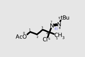 CC(=O)OCCCC(C)(Cl)/N=N/C(C)(C)C